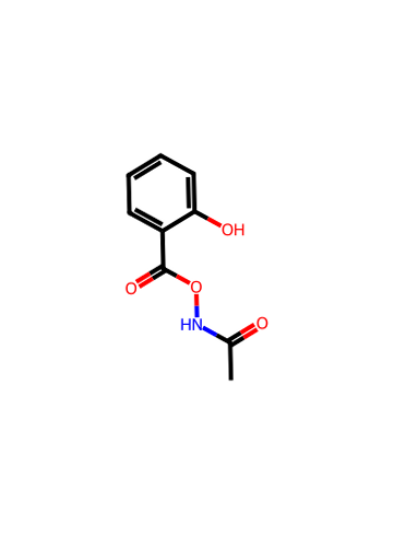 CC(=O)NOC(=O)c1ccccc1O